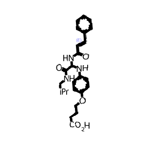 CC(C)CNC(=O)C(NC(=O)/C=C/c1ccccc1)Nc1ccc(OCCCC(=O)O)cc1